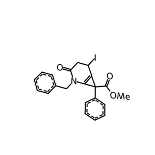 COC(=O)C1(c2ccccc2)C2=C1N(Cc1ccccc1)C(=O)CC2I